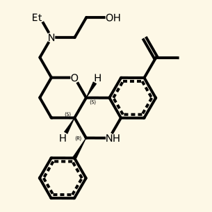 C=C(C)c1ccc2c(c1)[C@H]1OC(CN(CC)CCO)CC[C@H]1[C@H](c1ccccc1)N2